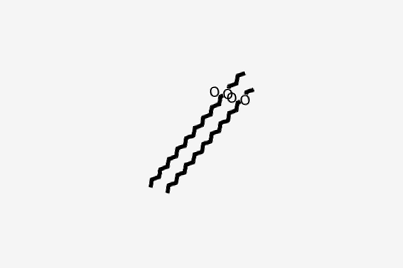 CCCCCCCCCCCCCCCCCC(=O)OCC.CCCCCCCCCCCCCCCCCC(=O)OCCCC